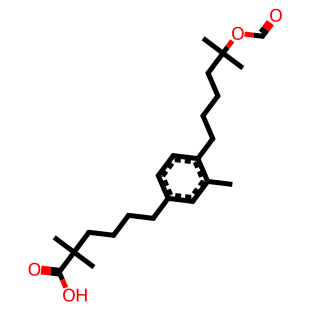 Cc1cc(CCCCC(C)(C)C(=O)O)ccc1CCCCC(C)(C)OC=O